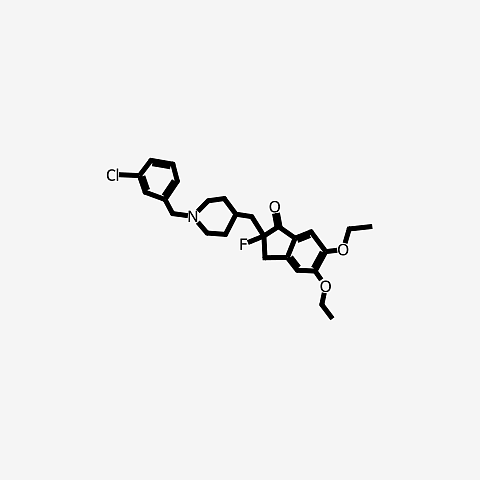 CCOc1cc2c(cc1OCC)C(=O)C(F)(CC1CCN(Cc3cccc(Cl)c3)CC1)C2